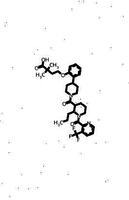 CCCC1C(C(=O)N2CCC(c3ccccc3OCCC(C)(C)C(=O)O)CC2)CCCN1C(=O)c1ncccc1C(F)(F)F